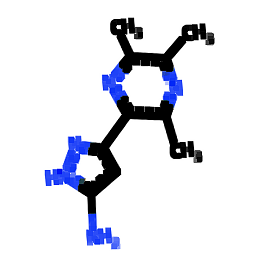 Cc1nc(C)c(-c2cc(N)[nH]n2)nc1C